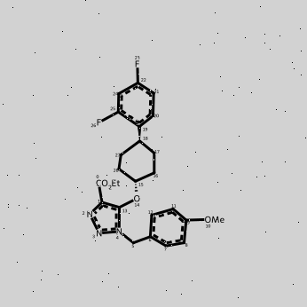 CCOC(=O)c1nnn(Cc2ccc(OC)cc2)c1O[C@H]1CC[C@H](c2ccc(F)cc2F)CC1